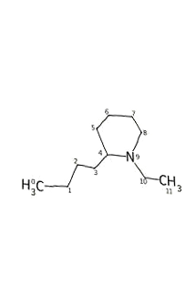 CCCCC1CCCCN1CC